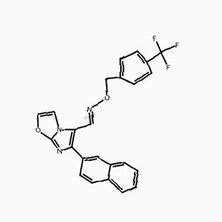 FC(F)(F)c1ccc(CO/N=C/c2c(-c3ccc4ccccc4c3)nc3occn23)cc1